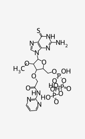 COC1C(OCC(=O)Nc2ncccn2)C(COP(=O)(O)OP(=O)(O)OP(=O)(O)O)OC1n1cnc2c(=S)[nH]c(N)nc21